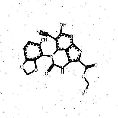 CCOC(=O)c1sc2nc(O)c(C#N)c3c2c1NC(=O)N3c1c(C)ccc2c1OCO2